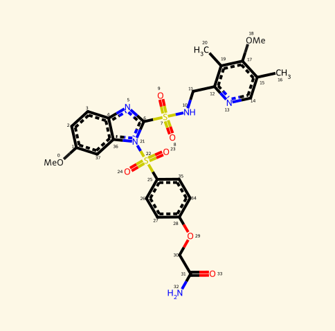 COc1ccc2nc(S(=O)(=O)NCc3ncc(C)c(OC)c3C)n(S(=O)(=O)c3ccc(OCC(N)=O)cc3)c2c1